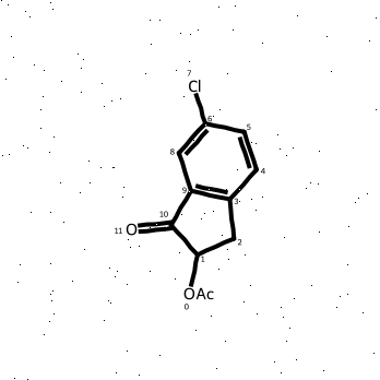 CC(=O)OC1Cc2ccc(Cl)cc2C1=O